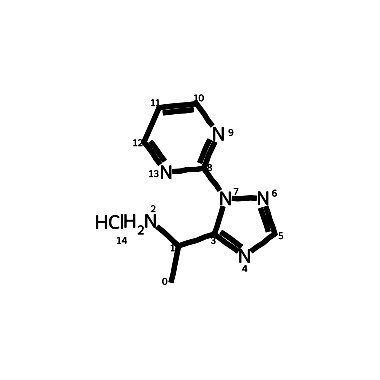 CC(N)c1ncnn1-c1ncccn1.Cl